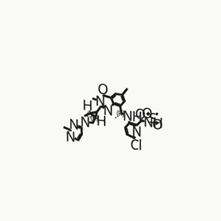 Cc1cc([C@@H](C)Nc2ccc(Cl)nc2C(=O)NS(C)(=O)=O)c2nc(C3[C@H]4CN(c5ccnc(C)n5)C[C@@H]34)n(C)c(=O)c2c1